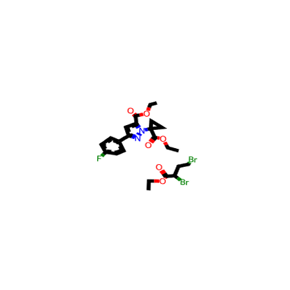 CCOC(=O)C(Br)CCBr.CCOC(=O)c1cc(-c2ccc(F)cc2)nn1C1(C(=O)OCC)CC1